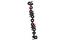 c1ccc2c(-c3ccc(-c4ccc5c(c4)sc4c6ccc(-c7ccc(-c8ccc9c(c8)sc8c%10ccc(-c%11ccc(-c%12csc%13ccccc%12%13)cc%11)cc%10sc98)cc7)cc6sc54)cc3)csc2c1